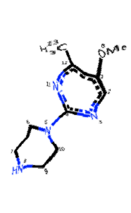 COc1cnc(N2CCNCC2)nc1C